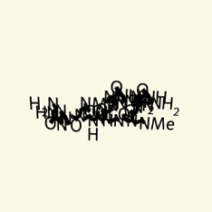 CNCCN(CC(=O)NCCN(CC(=O)NCCN(CC(=O)NC)C(=O)Cn1cnc2c(=O)[nH]c(N)nc21)C(=O)Cn1cnc2c(=O)[nH]c(N)nc21)C(=O)Cn1cnc2c(=O)[nH]c(N)nc21